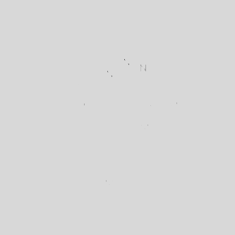 COCCCCc1c(C(=O)O)nnn1-c1ccccc1OC